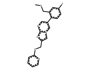 COCc1cc(F)ccc1-c1cnc2nc(COc3ccccn3)cn2c1